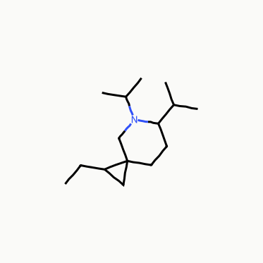 CCC1CC12CCC(C(C)C)N(C(C)C)C2